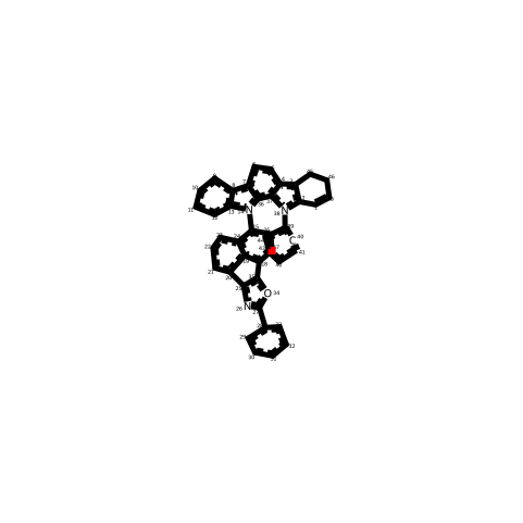 C1=Cc2c(c3ccc4c5ccccc5n(-c5ccc6c7c(cccc57)-c5nc(-c7ccccc7)oc5-6)c4c3n2-c2ccccc2)CC1